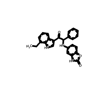 CCc1cccc2c(C(=O)C(Nc3ccc4oc(=O)[nH]c4c3)c3ccccc3)c[nH]c12